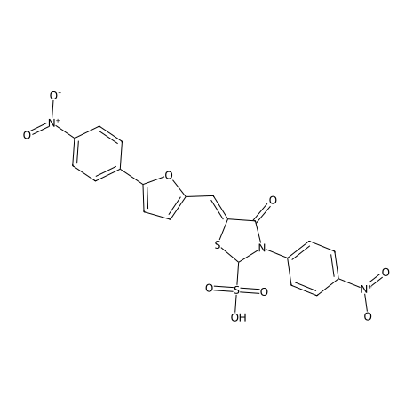 O=C1C(=Cc2ccc(-c3ccc([N+](=O)[O-])cc3)o2)SC(S(=O)(=O)O)N1c1ccc([N+](=O)[O-])cc1